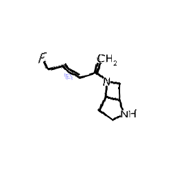 C=C(/C=C/CF)N1CC2NCCC21